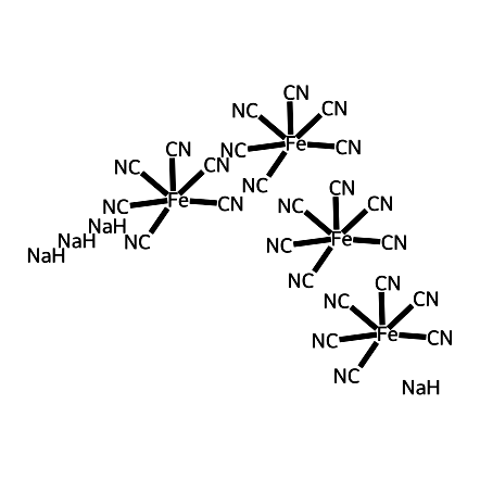 N#[C][Fe]([C]#N)([C]#N)([C]#N)([C]#N)[C]#N.N#[C][Fe]([C]#N)([C]#N)([C]#N)([C]#N)[C]#N.N#[C][Fe]([C]#N)([C]#N)([C]#N)([C]#N)[C]#N.N#[C][Fe]([C]#N)([C]#N)([C]#N)([C]#N)[C]#N.[NaH].[NaH].[NaH].[NaH]